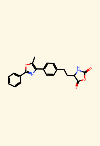 Cc1oc(-c2ccccc2)nc1-c1ccc(CCC2NC(=O)OC2=O)cc1